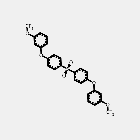 O=S(=O)(c1ccc(Oc2cccc(OC(F)(F)F)c2)cc1)c1ccc(Oc2cccc(OC(F)(F)F)c2)cc1